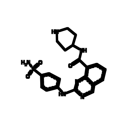 NS(=O)(=O)c1ccc(Nc2ncc3cccc(C(=O)NC4CCNCC4)c3n2)cc1